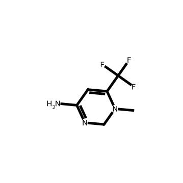 CN1CN=C(N)C=C1C(F)(F)F